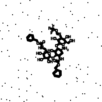 N[C@@H]1CC(NC(=O)OCc2ccccc2)[C@@H](O[C@H]2OC(CNC(=O)OCc3ccccc3)[C@@H](O)[C@H](O)C2O)C(O)[C@@H]1OC1O[C@H](CO)[C@@H](O)C(N=COC(F)(F)F)[C@H]1O